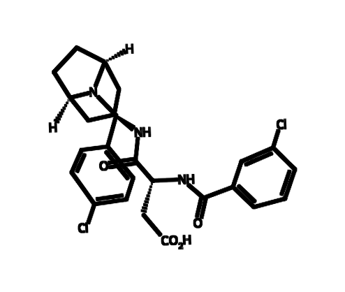 O=C(O)C[C@@H](NC(=O)c1cccc(Cl)c1)C(=O)N[C@H]1C[C@H]2CC[C@@H](C1)N2Cc1ccc(Cl)cc1